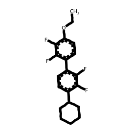 CCOc1ccc(-c2ccc(C3CCCCC3)c(F)c2F)c(F)c1F